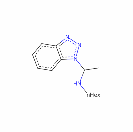 CCCCCCNC(C)n1nnc2ccccc21